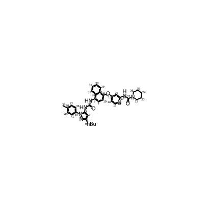 CCCCc1cc(NC(=O)Nc2ccc(Oc3ccnc(NC(=O)N4CCCCC4)c3)c3ccccc23)n(-c2ccc(C)cc2)n1